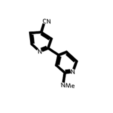 CNc1cc(-c2cc(C#N)ccn2)ccn1